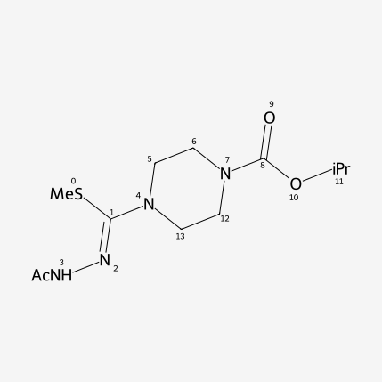 CS/C(=N\NC(C)=O)N1CCN(C(=O)OC(C)C)CC1